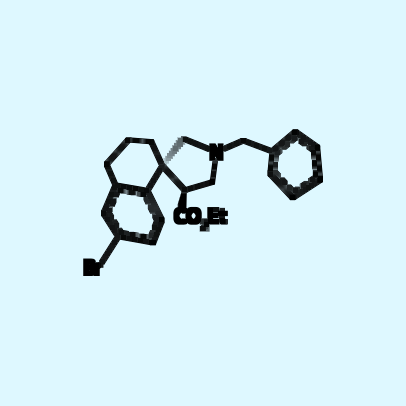 CCOC(=O)[C@@H]1CN(Cc2ccccc2)C[C@]12CCCc1cc(Br)ccc12